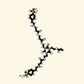 C=CC(=O)OCCn1c(=O)n(CCOC(=O)CCNCCc2ccc(S(N)(=O)=O)cc2)c(=O)n(CCOC(=O)CCOC(=O)CCNCCc2ccc(S(N)(=O)=O)cc2)c1=O